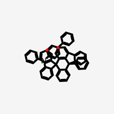 c1ccc(-c2ccc(N(c3ccccc3)c3ccccc3C3(c4ccccc4)c4ccccc4C4(c5ccccc5)c5ccccc5-c5cccc3c54)cc2)cc1